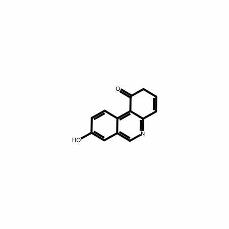 O=C1CC=Cc2ncc3cc(O)ccc3c21